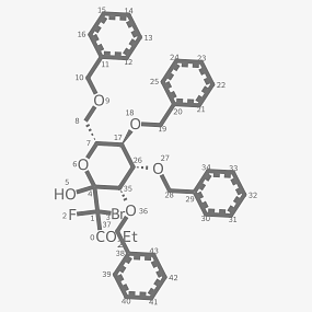 CCOC(=O)C(F)(Br)C1(O)O[C@H](COCc2ccccc2)[C@@H](OCc2ccccc2)[C@H](OCc2ccccc2)[C@@H]1OCc1ccccc1